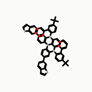 Cc1cc2c3c(c1)N(c1ccc(C(C)(C)C)cc1-c1ccccc1)c1cc(-c4ccc5ccsc5c4)ccc1B3c1ccc(-c3ccc4ccsc4c3)cc1N2c1ccc(C(C)(C)C)cc1-c1ccccc1